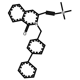 C[Si](C)(C)C#Cc1cc2ccccc2c(=O)n1Cc1ccc(-c2ccccc2)cc1